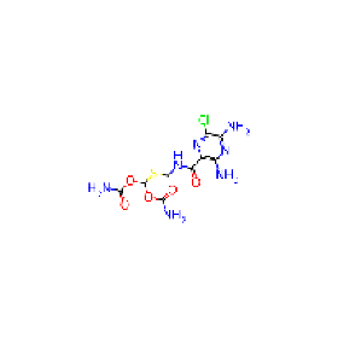 NC(=O)OC(OC(N)=O)SCNC(=O)c1nc(Cl)c(N)nc1N